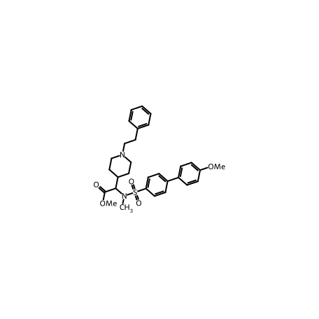 COC(=O)C(C1CCN(CCc2ccccc2)CC1)N(C)S(=O)(=O)c1ccc(-c2ccc(OC)cc2)cc1